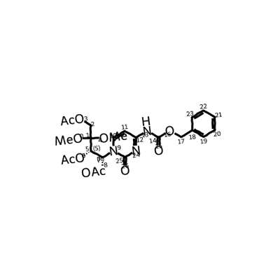 COC(COC(C)=O)(OC)[C@@H](OC(C)=O)[C@@H](OC(C)=O)n1ccc(NC(=O)OCc2ccccc2)nc1=O